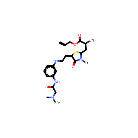 C=CCOC(=O)C(C#N)CC1SC(CCNc2cccc(NC(=O)CN(C)CCC)c2)C(=O)N1CC